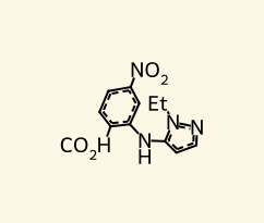 CCn1nccc1Nc1cc([N+](=O)[O-])ccc1C(=O)O